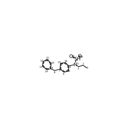 CCCN(c1ccc(Cc2c[c]ccc2)cc1)[SH](=O)=O